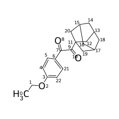 CCOc1ccc(C(=O)C(=O)C23CC4CC(CC(C4)C2)C3)cc1